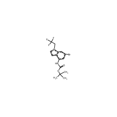 CC(C)(C)OC(=O)Nc1cc(Br)cc2c1ccn2CC(F)(F)F